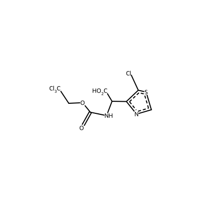 O=C(NC(C(=O)O)c1ncsc1Cl)OCC(Cl)(Cl)Cl